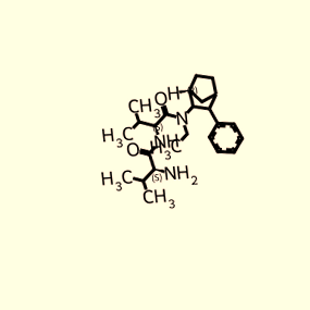 CCN(C(=O)[C@@H](NC(=O)[C@@H](N)C(C)C)C(C)C)C1C(c2ccccc2)C2CC[C@@H]1C2